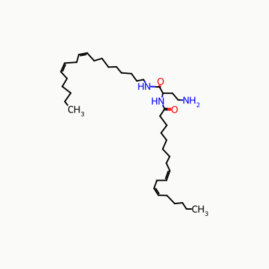 CCCCC/C=C\C/C=C\CCCCCCCCNC(=O)C(CCN)NC(=O)CCCCCCC/C=C\C/C=C\CCCCC